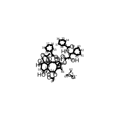 CC(=O)O[C@H]1C(=O)[C@@]2(C)[C@H]([C@H](OC(=O)c3ccccc3)[C@]3(O)C[C@H](OC(=O)[C@H](O)[C@@H](NC(=O)c4ccccc4)c4ccccc4)C(C)=C1C3(C)C)[C@]1(OC(C)=O)CO[C@@H]1C[C@@H]2O.C[S+](C)[O-]